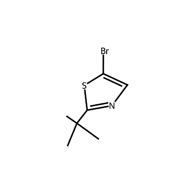 CC(C)(C)c1ncc(Br)s1